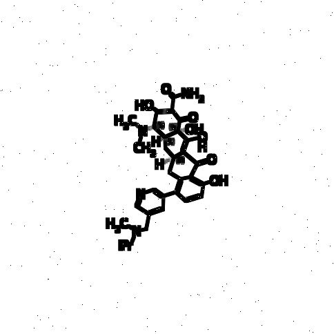 CC(C)N(C)Cc1cncc(-c2ccc(O)c3c2C[C@H]2C[C@H]4[C@H](N(C)C)C(O)=C(C(N)=O)C(=O)[C@@]4(O)C(O)=C2C3=O)c1